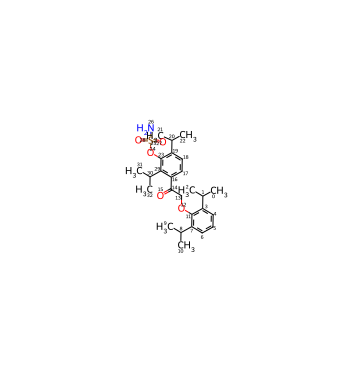 CC(C)c1cccc(C(C)C)c1OCC(=O)c1ccc(C(C)C)c(OS(N)(=O)=O)c1C(C)C